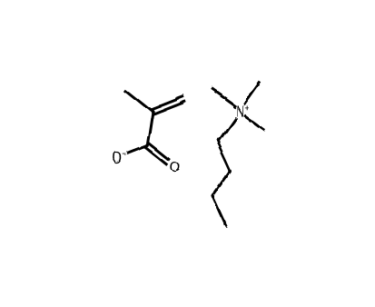 C=C(C)C(=O)[O-].CCCC[N+](C)(C)C